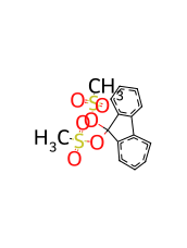 CS(=O)(=O)OC1(OS(C)(=O)=O)c2ccccc2-c2ccccc21